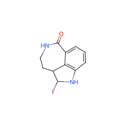 O=C1NCCC2c3c(cccc31)NC2I